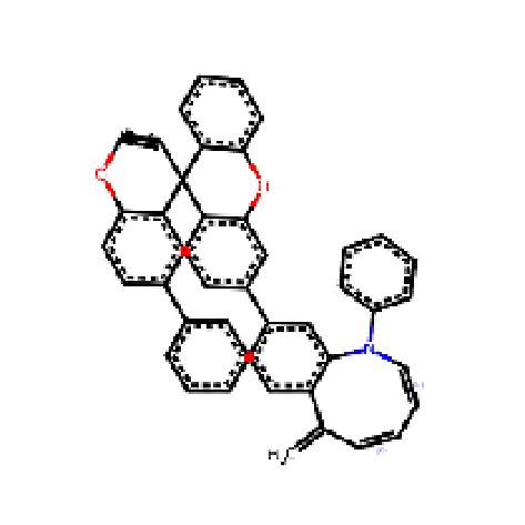 C=C1/C=C\C=C/N(c2ccccc2)c2cc(-c3ccc4c(c3)Oc3ccccc3C43c4ccccc4Oc4ccc(-c5ccccc5)cc43)ccc21